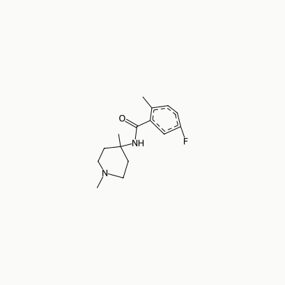 Cc1ccc(F)cc1C(=O)NC1(C)CCN(C)CC1